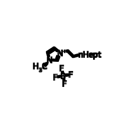 CCCCCCCCC[n+]1ccn(C)c1.F[B-](F)(F)F